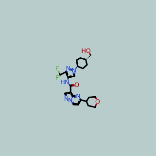 O=C(Nc1cn([C@H]2CC[C@H](CO)CC2)nc1C(F)F)c1cnn2ccc(C3CCOCC3)nc12